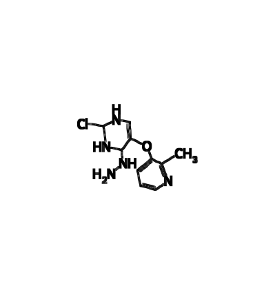 Cc1ncccc1OC1=CNC(Cl)NC1NN